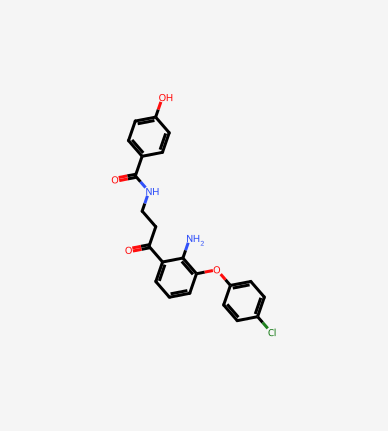 Nc1c(Oc2ccc(Cl)cc2)cccc1C(=O)CCNC(=O)c1ccc(O)cc1